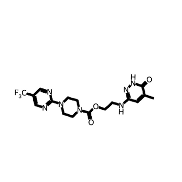 Cc1cc(NCCOC(=O)N2CCN(c3ncc(C(F)(F)F)cn3)CC2)n[nH]c1=O